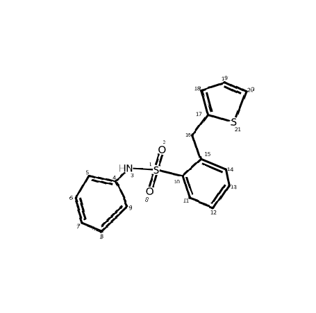 O=S(=O)(Nc1ccccc1)c1ccccc1Cc1cccs1